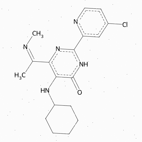 C/N=C(/C)c1nc(-c2cc(Cl)ccn2)[nH]c(=O)c1NC1CCCCC1